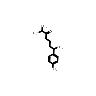 Bc1ccc(C(C)CCCC(=O)C(C)C)cc1